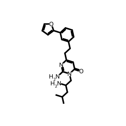 CC(C)CC(N)Cn1c(N)nc(CCc2cccc(-c3ccco3)c2)cc1=O